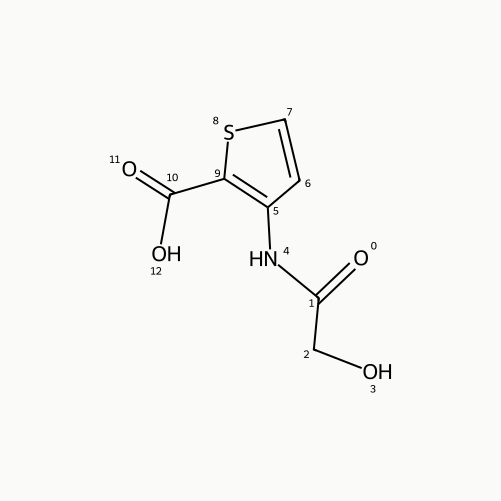 O=C(CO)Nc1ccsc1C(=O)O